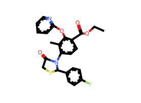 CCOC(=O)c1ccc(N2C(=O)CSC2c2ccc(F)cc2)c(C)c1Oc1ccccn1